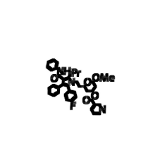 COC1C[C@H](OC(=O)c2cccnc2)C[C@@H](CCn2c(-c3ccc(F)cc3)c(-c3ccccc3)c(C(=O)Nc3ccccc3)c2C(C)C)O1